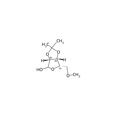 COC[C@@H]1OC(O)[C@@H]2OC(C)(C)O[C@H]12